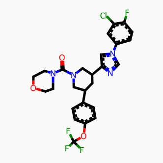 O=C(N1CCOCC1)N1CC(c2ccc(OC(F)(F)F)cc2)CC(c2cn(-c3ccc(F)c(Cl)c3)cn2)C1